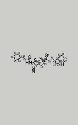 N#Cc1c(NC(=O)/C=C/c2ccccc2)sc2c1CCN(C(=O)CCc1c[nH]c3ccccc13)C2